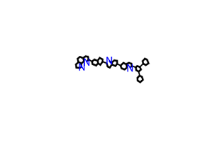 c1ccc(-c2cc(-c3ccccc3)cc(-c3ccc4cc(-c5ccc6nc(-c7ccc8cc(-c9ccc%10ccc%11cccnc%11c%10n9)ccc8c7)ccc6c5)ccc4n3)c2)cc1